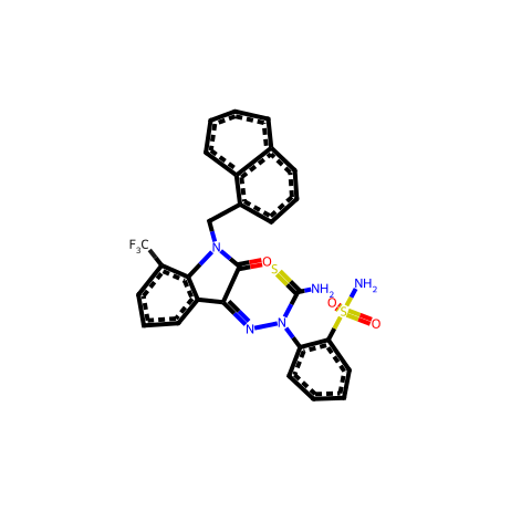 NC(=S)N(/N=C1\C(=O)N(Cc2cccc3ccccc23)c2c1cccc2C(F)(F)F)c1ccccc1S(N)(=O)=O